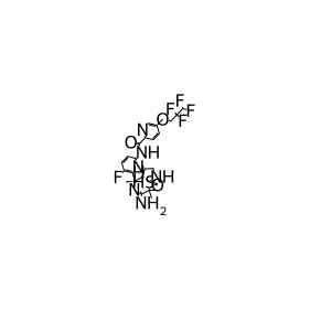 CC1(C)C(N)=N[C@](C)(c2nc(NC(=O)c3ccc(OCC(F)(F)C(F)F)cn3)ccc2F)[C@H]2CCN[SH]21=O